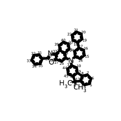 CC1(C)c2ccccc2-c2cc(N(c3cccc(-c4ccccc4)c3)c3cc4oc(-c5ccccc5)nc4c4ccccc34)ccc21